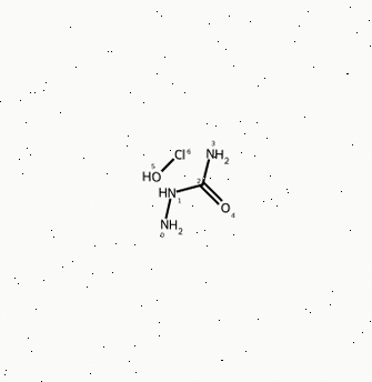 NNC(N)=O.OCl